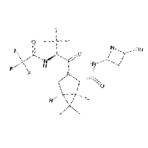 CC(C)(C)[C@H](NC(=O)C(F)(F)F)C(=O)N1C[C@H]2[C@@H]([C@H]1C(=O)NC1CC(O)N1)C2(C)C